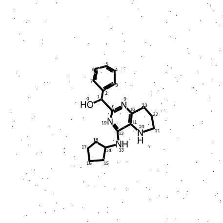 OC(c1ccccc1)c1nc2c(c(NC3CCCC3)n1)NCCC2